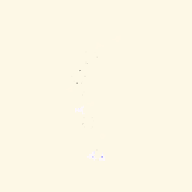 CCCCOCCOc1ccc(-c2ccc(OCC(C)C)c(/C=C/C(=O)Nc3ccc([S@+]([O-])Cc4cncn4CCC)cc3)c2)cc1